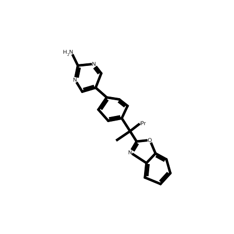 CC(C)C(C)(c1ccc(-c2cnc(N)nc2)cc1)c1nc2ccccc2o1